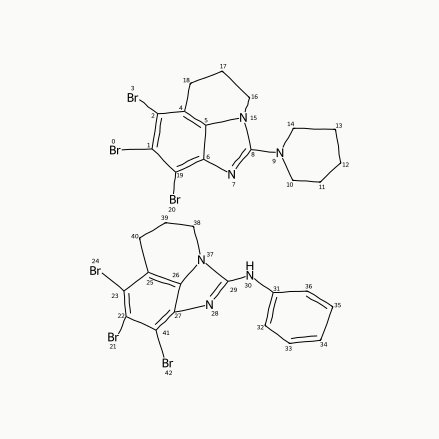 Brc1c(Br)c2c3c(nc(N4CCCCC4)n3CCC2)c1Br.Brc1c(Br)c2c3c(nc(Nc4ccccc4)n3CCC2)c1Br